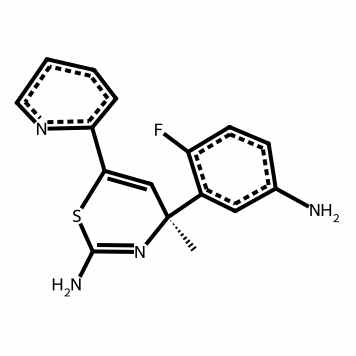 C[C@@]1(c2cc(N)ccc2F)C=C(c2ccccn2)SC(N)=N1